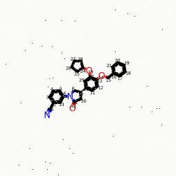 N#Cc1cccc(N2C[C@@H](c3ccc(OCc4ccccc4)c(OC4CCCC4)c3)CC2=O)c1